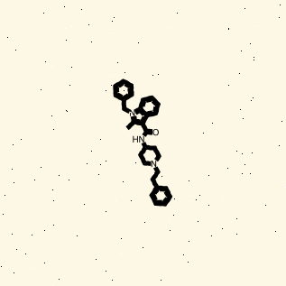 Cc1c(C(=O)NC2CCN(CCc3ccccc3)CC2)c2ccccc2n1Cc1ccccc1